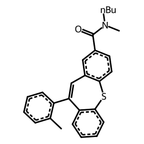 CCCCN(C)C(=O)c1ccc2c(c1)C=C(c1ccccc1C)c1ccccc1S2